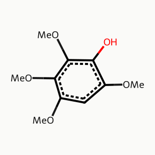 COc1cc(OC)c(OC)c(OC)c1O